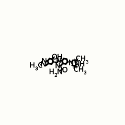 C[C@@H]1CN(c2ccc3nc(-c4cc5cn(C)nc5cc4O)nc(C(N)=O)c3c2)C[C@H](C)N1